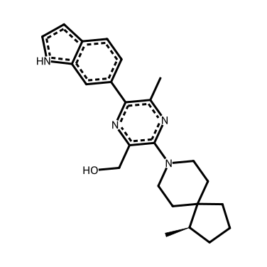 Cc1nc(N2CCC3(CCC[C@H]3C)CC2)c(CO)nc1-c1ccc2cc[nH]c2c1